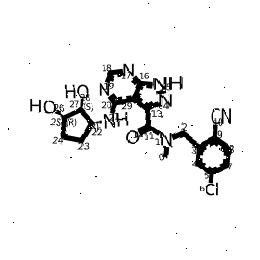 CN(Cc1cc(Cl)ccc1C#N)C(=O)c1n[nH]c2ncnc(N[C@@H]3CC[C@@H](O)[C@H]3O)c12